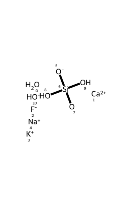 O.[Ca+2].[F-].[K+].[Na+].[O-][Si]([O-])(O)O.[OH-]